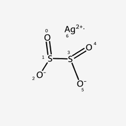 O=S([O-])S(=O)[O-].[Ag+2]